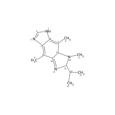 CC1=c2nc[nH]c2=C(C)C2C1=NC(C(C)C)N2C